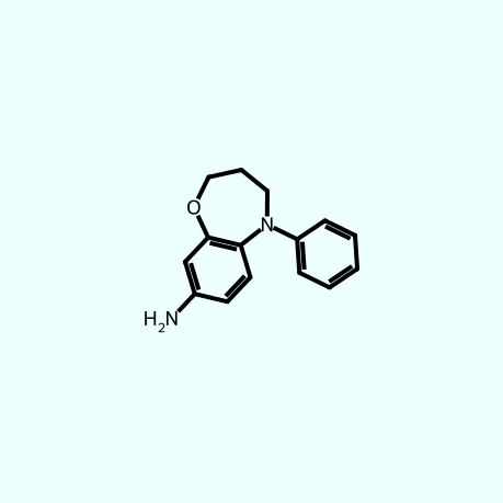 Nc1ccc2c(c1)OCCCN2c1ccccc1